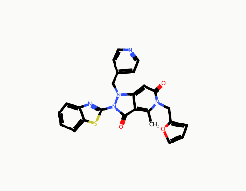 Cc1c2c(=O)n(-c3nc4ccccc4s3)n(Cc3ccncc3)c2cc(=O)n1Cc1ccco1